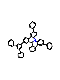 c1ccc(-c2cc(-c3ccccc3)cc(-c3ccc4c(c3)B3c5ccccc5-c5cc(-c6ccccc6)ccc5N3c3ccc(-c5ccccc5)cc3-4)c2)cc1